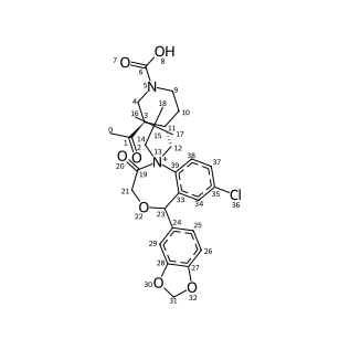 CC(=O)[C@H]1CN(C(=O)O)CC[C@@H]1C[N+]1(CC(C)(C)C)C(=O)COC(c2ccc3c(c2)OCO3)c2cc(Cl)ccc21